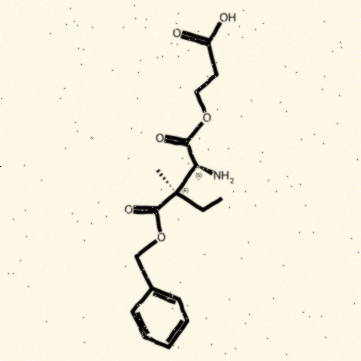 CC[C@@](C)(C(=O)OCc1ccccc1)[C@H](N)C(=O)OCCC(=O)O